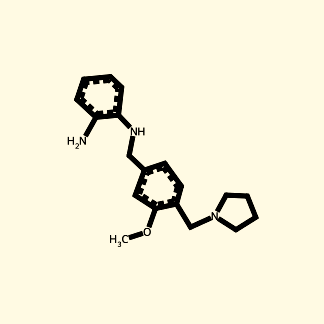 COc1cc(CNc2ccccc2N)ccc1CN1CCCC1